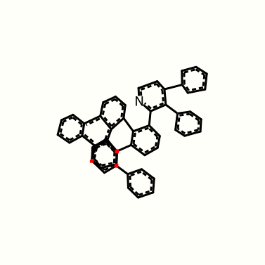 c1ccc(-c2ccccc2-c2cccc(-c3nccc(-c4ccccc4)c3-c3ccccc3)c2-c2cccc3c4ccccc4c4ccccc4c23)cc1